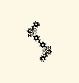 O=C(Nc1ccc(/C=C/c2ccc(NC(=O)[C@@H]3C=CCN3C(=O)Cc3cccnc3)cc2)cc1)[C@@H]1C=CCN1C(=O)Cc1cccnc1